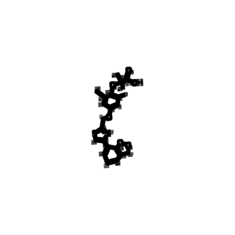 Cc1cc(OCc2nc(-c3cccc4c3OOC4)cs2)cc(C)c1OC(C)(C)C(=O)O